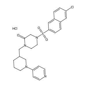 Cl.O=C1CN(S(=O)(=O)c2ccc3cc(Cl)ccc3c2)CCN1CC1CCCN(c2ccncc2)C1